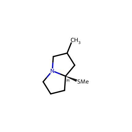 CS[C@@]12CCCN1CC(C)C2